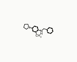 Cc1cc(N2CCCC2)ccc1NCc1ccccc1